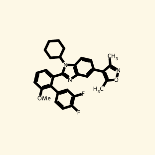 COc1cccc(-c2nc3cc(-c4c(C)noc4C)ccc3n2C2CCCCC2)c1-c1ccc(F)c(F)c1